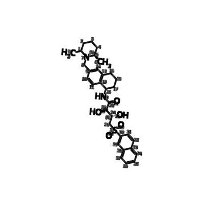 CC1CCC[C@@H](C)N1Cc1ccc2c(c1)CCCC2NC(=O)[C@H](O)[C@H](O)CS(=O)(=O)c1ccc2ccccc2c1